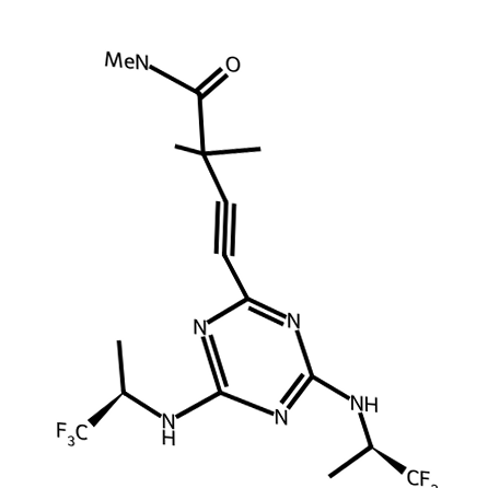 CNC(=O)C(C)(C)C#Cc1nc(N[C@H](C)C(F)(F)F)nc(N[C@H](C)C(F)(F)F)n1